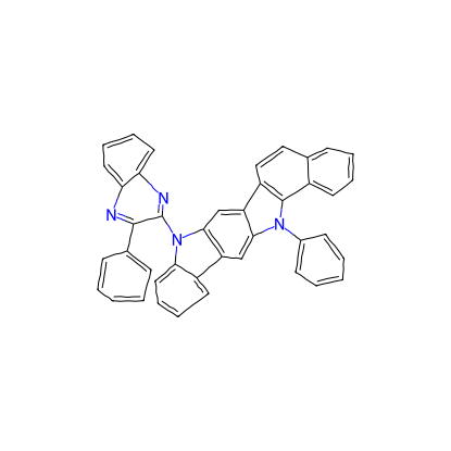 c1ccc(-c2nc3ccccc3nc2-n2c3ccccc3c3cc4c(cc32)c2ccc3ccccc3c2n4-c2ccccc2)cc1